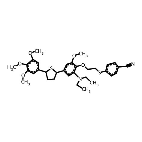 CCN(CC)c1cc(C2CCC(c3cc(OC)c(OC)c(OC)c3)S2)cc(OC)c1OCCSc1ccc(C#N)cc1